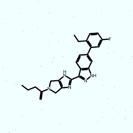 C=C(CCC)N1Cc2nc(-c3n[nH]c4cc(-c5cc(F)ccc5CC)ccc34)[nH]c2C1